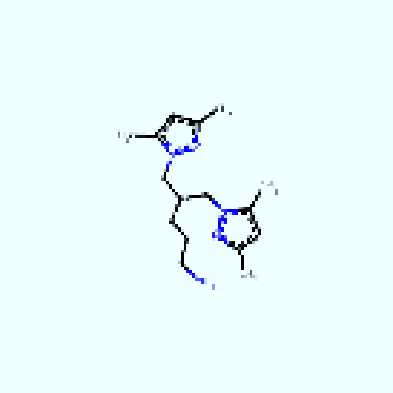 Cc1cc(C)n(CC(CCCN)Cn2nc(C)cc2C)n1